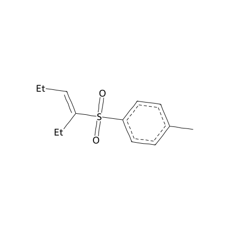 CCC=C(CC)S(=O)(=O)c1ccc(C)cc1